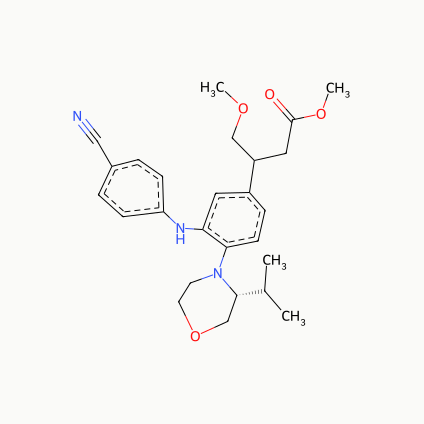 COCC(CC(=O)OC)c1ccc(N2CCOC[C@H]2C(C)C)c(Nc2ccc(C#N)cc2)c1